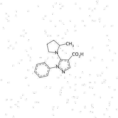 CC1CCCN1c1c(C(=O)O)cnn1-c1ccccc1